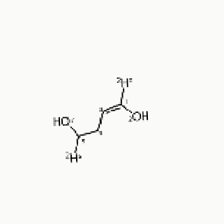 [2H]C(O)=CCC([2H])O